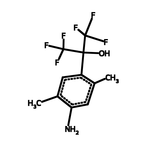 Cc1cc(C(O)(C(F)(F)F)C(F)(F)F)c(C)cc1N